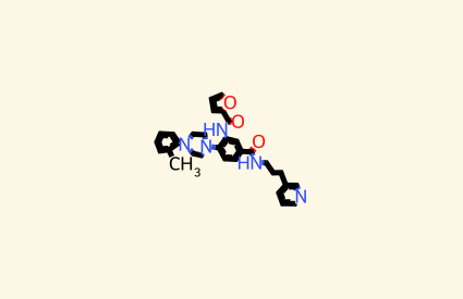 Cc1ccccc1N1CCN(c2ccc(C(=O)NCCCc3cccnc3)cc2NC(=O)c2ccco2)CC1